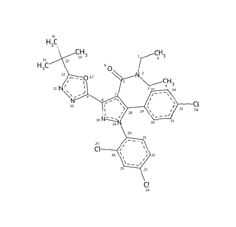 CCN(CC)C(=O)c1c(-c2nnc(C(C)(C)C)o2)nn(-c2ccc(Cl)cc2Cl)c1-c1ccc(Cl)cc1